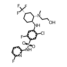 CN(CCO)[C@H]1C[C@@H](C(F)(F)F)CC[C@@H]1Nc1cc(F)c(S(=O)(=O)Nc2cccc(F)n2)cc1Cl